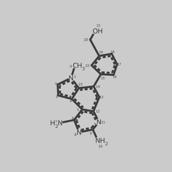 Cn1ccc2c3c(N)nc(N)nc3cc(-c3cccc(CO)c3)c21